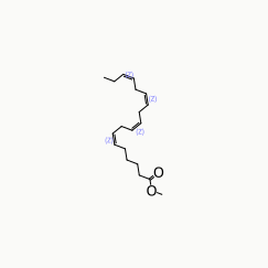 CC/C=C\C/C=C\C/C=C\C/C=C\CCCCC(=O)OC